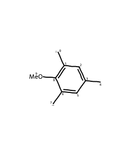 [CH]c1cc(C)cc([CH])c1OC